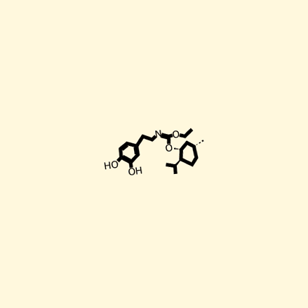 CCOC(=NCCc1ccc(O)c(O)c1)O[C@@H]1C[C@H](C)CC[C@H]1C(C)C